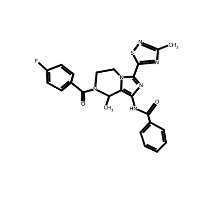 Cc1nsc(-c2nc(NC(=O)c3ccccc3)c3n2CCN(C(=O)c2ccc(F)cc2)C3C)n1